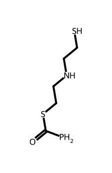 O=C(P)SCCNCCS